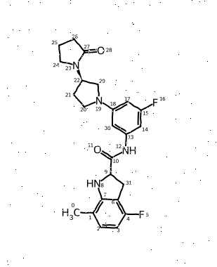 Cc1ccc(F)c2c1NC(C(=O)Nc1cc(F)cc(N3CC[C@@H](N4CCCC4=O)C3)c1)C2